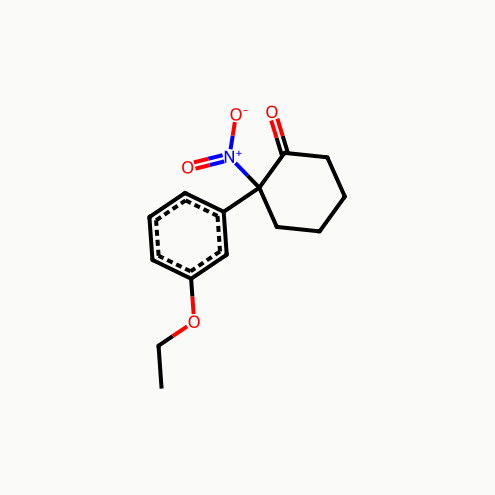 CCOc1cccc(C2([N+](=O)[O-])CCCCC2=O)c1